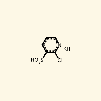 O=S(=O)(O)c1cccnc1Cl.[KH]